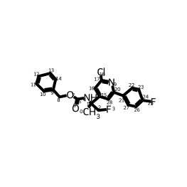 CC(CF)(NC(=O)OCc1ccccc1)c1cc(Cl)nc(-c2ccc(F)cc2)c1